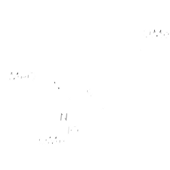 COc1ccc(CC(CO)Sc2nc(OC)cc(OC)n2)cc1